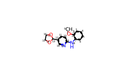 COc1ccccc1Nc1ccc(C2OCCO2)cn1